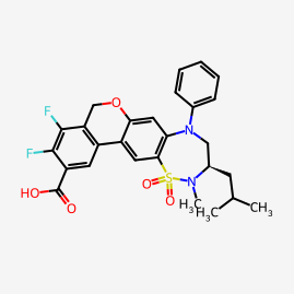 CC(C)C[C@@H]1CN(c2ccccc2)c2cc3c(cc2S(=O)(=O)N1C)-c1cc(C(=O)O)c(F)c(F)c1CO3